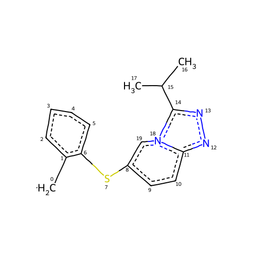 [CH2]c1ccccc1Sc1ccc2nnc(C(C)C)n2c1